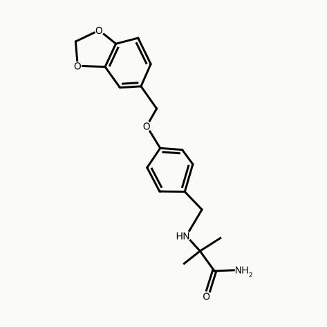 CC(C)(NCc1ccc(OCc2ccc3c(c2)OCO3)cc1)C(N)=O